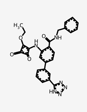 CCOc1c(Nc2cc(-c3cccc(-c4nnn[nH]4)c3)ccc2C(=O)NCc2ccccc2)c(=O)c1=O